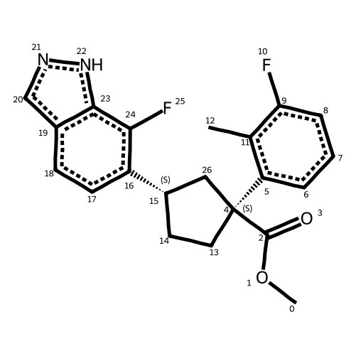 COC(=O)[C@@]1(c2cccc(F)c2C)CC[C@H](c2ccc3cn[nH]c3c2F)C1